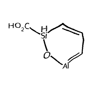 O=C(O)[SiH]1C=C[CH]=[Al][O]1